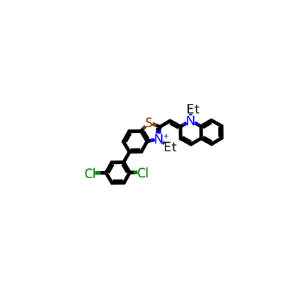 CCN1/C(=C/c2sc3ccc(-c4cc(Cl)ccc4Cl)cc3[n+]2CC)C=Cc2ccccc21